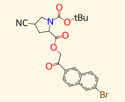 CC(C)(C)OC(=O)N1CC(C#N)CC1C(=O)OCC(=O)c1ccc2cc(Br)ccc2c1